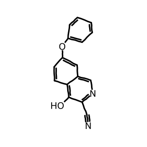 N#Cc1ncc2cc(Oc3ccccc3)ccc2c1O